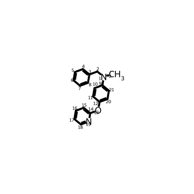 CN(Cc1ccccc1)c1ccc(Oc2ccccn2)cc1